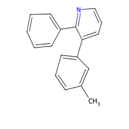 Cc1cccc(-c2cccnc2-c2ccccc2)c1